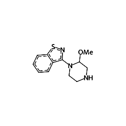 COC1CNCCN1c1nsc2ccccc12